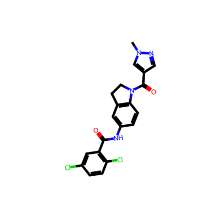 Cn1cc(C(=O)N2CCc3cc(NC(=O)c4cc(Cl)ccc4Cl)ccc32)cn1